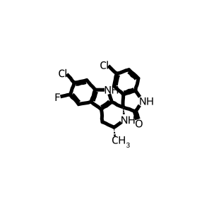 C[C@@H]1Cc2c([nH]c3cc(Cl)c(F)cc23)[C@]2(N1)C(=O)Nc1ccc(Cl)cc12